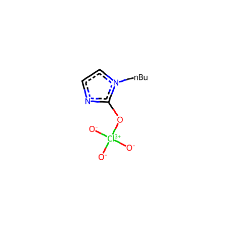 CCCCn1ccnc1O[Cl+3]([O-])([O-])[O-]